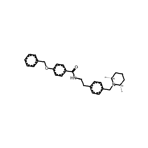 C[C@@H]1CCC[C@H](C)N1Cc1ccc(CCNC(=O)c2ccc(OCc3ccccc3)cc2)cc1